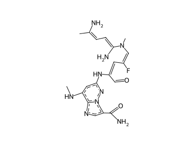 CNc1cc(N/C(C=O)=C/C(F)=C\N(C)/C(N)=C/C=C(/C)N)nn2c(C(N)=O)cnc12